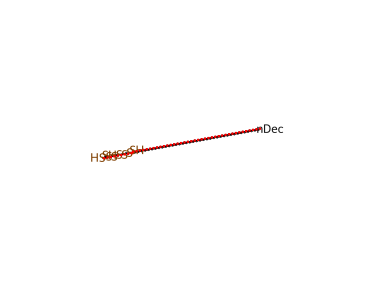 CCCCCCCCCCCCCCCCCCCCCCCCCCCCCCCCCCCCCCCCCCCCCCCCCCCCCCCCCCCCCCCCCCCCCCCCCCCCCCCCCCCC(S)CSCCSCCSCCSCCSCC(S)CS